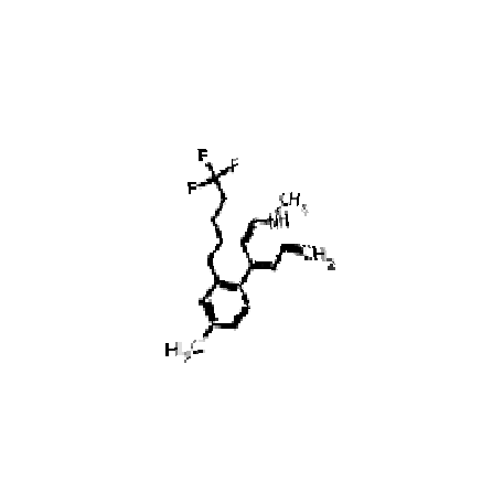 C=C/C=C(\C=C/NC)c1ccc(C)cc1CCCCC(F)(F)F